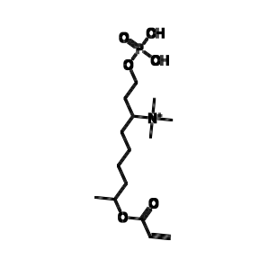 C=CC(=O)OC(C)CCCCC(CCOP(=O)(O)O)[N+](C)(C)C